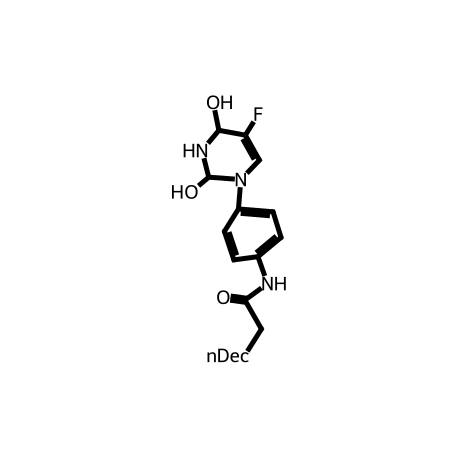 CCCCCCCCCCCC(=O)Nc1ccc(N2C=C(F)C(O)NC2O)cc1